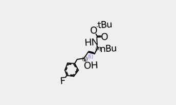 CCCC[C@H](/C=C/[C@@H](O)Cc1ccc(F)cc1)NC(=O)OC(C)(C)C